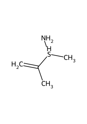 C=C(C)[SH](C)N